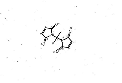 CC(C)(N1C(=O)C=CC1=O)N1C(=O)C=CC1=O